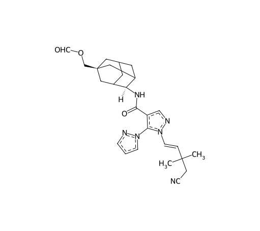 CC(C)(/C=C/n1ncc(C(=O)N[C@H]2C3CC4CC2C[C@@](COC=O)(C4)C3)c1-n1cccn1)CC#N